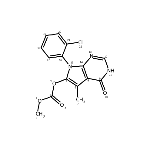 COC(=O)Oc1c(C)c2c(=O)[nH]cnc2n1-c1ccccc1Cl